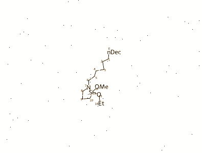 CCCCCCCCCCCCCCCCN1CCC[Si]1(OC)OCC